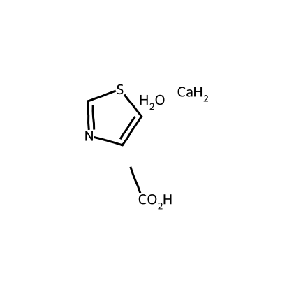 CC(=O)O.O.[CaH2].c1cscn1